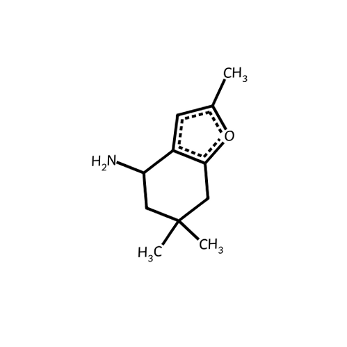 Cc1cc2c(o1)CC(C)(C)CC2N